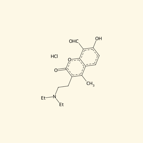 CCN(CC)CCc1c(C)c2ccc(O)c(C=O)c2oc1=O.Cl